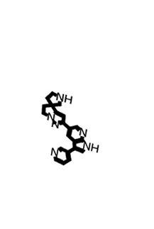 c1cncc(-c2c[nH]c3ncc(-c4cc5n(n4)CCC54CCNC4)cc23)c1